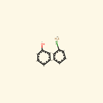 Brc1ccccc1.Oc1ccccc1.S